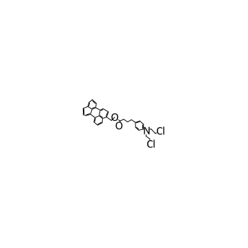 O=C(CCCc1ccc(N(CCCl)CCCl)cc1)OCc1ccc2c3cccc4cccc(c5cccc1c52)c43